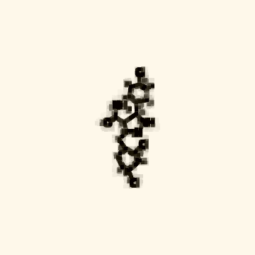 NC(=O)C1C([CH]c2ccc(Cl)cc2Cl)=NNC1c1ccc(Cl)cc1